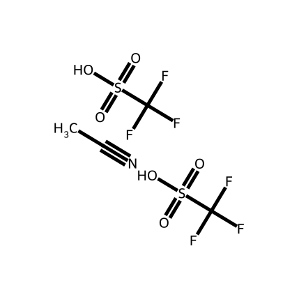 CC#N.O=S(=O)(O)C(F)(F)F.O=S(=O)(O)C(F)(F)F